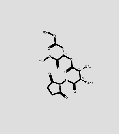 CC(=O)O[C@@H](C(=O)O[C@@H](CC(=O)OC(C)(C)C)C(=O)OC(C)(C)C)[C@@H](OC(C)=O)C(=O)ON1C(=O)CCC1=O